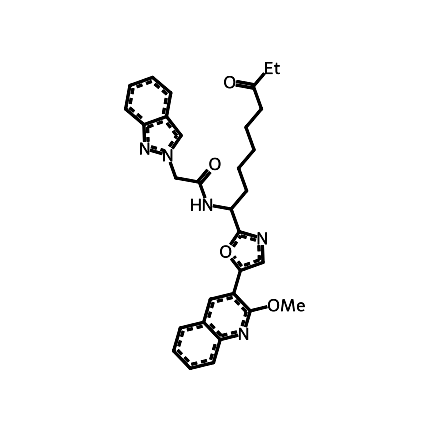 CCC(=O)CCCCCC(NC(=O)Cn1cc2ccccc2n1)c1ncc(-c2cc3ccccc3nc2OC)o1